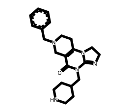 O=C1C2=C(CCN(Cc3ccccc3)C2)N2CCN=C2N1CC1CCNCC1